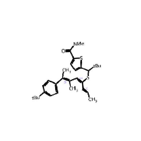 C/C=C/C(=C\C(C)=C(/C)c1ccc(C(C)(C)C)cc1)SC(c1ccc(C(=O)NC)s1)C(C)(C)C